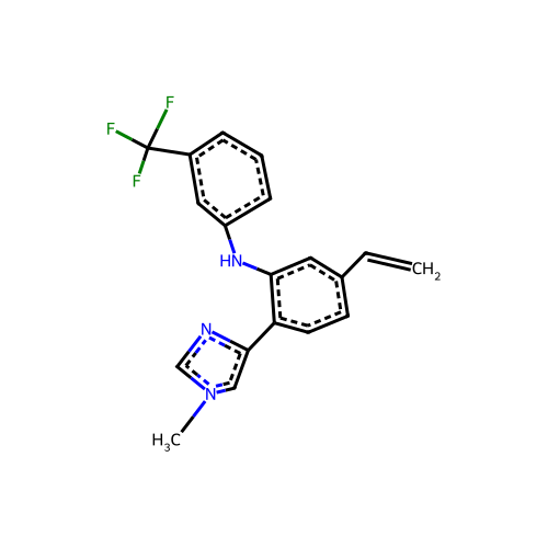 C=Cc1ccc(-c2cn(C)cn2)c(Nc2cccc(C(F)(F)F)c2)c1